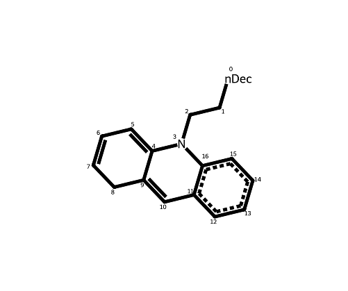 CCCCCCCCCCCCN1C2=CC=CCC2=Cc2ccccc21